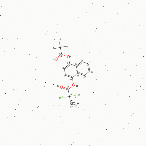 CC(C)(I)C(=O)Oc1ccc(OC(=O)C(F)(F)S(=O)(=O)O)c2ccccc12